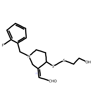 O=C/C=C1/CN(Cc2ccccc2F)CCC1SSCCO